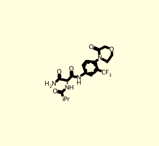 CC(C)C(=O)N[C@H](C(N)=O)C(=O)Nc1ccc(N2CCOCC2=O)c(C(F)(F)F)c1